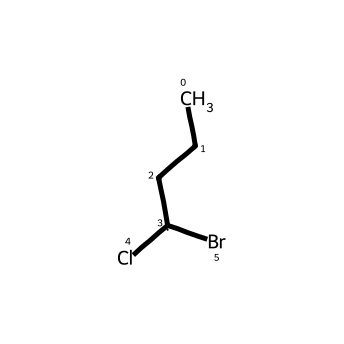 CCC[C](Cl)Br